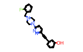 Oc1cccc(C#Cc2ccc(N3CCN(Cc4ccccc4F)CC3)nn2)c1